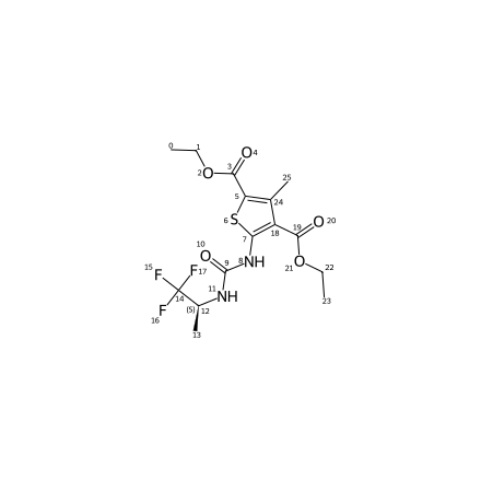 CCOC(=O)c1sc(NC(=O)N[C@@H](C)C(F)(F)F)c(C(=O)OCC)c1C